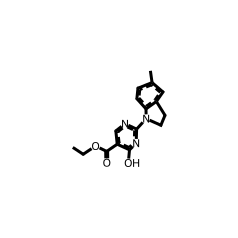 CCOC(=O)c1cnc(N2CCc3cc(C)ccc32)nc1O